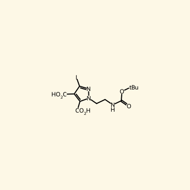 CC(C)(C)OC(=O)NCCn1nc(I)c(C(=O)O)c1C(=O)O